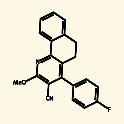 COc1nc2c(c(-c3ccc(F)cc3)c1C#N)CCc1ccccc1-2